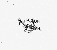 COc1nc(-c2cccc(-c3cccc4c3CC[C@@H]4Oc3nc(OC)c(CN4CC5[C@H](C)[C@]5(C(=O)O)C4)cc3C(F)(F)F)c2Cl)ccc1CNC[C@@H]1CCC(=O)N1